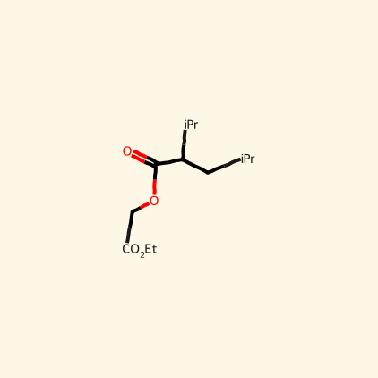 CCOC(=O)COC(=O)C(CC(C)C)C(C)C